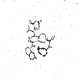 CN[C@@H](C)C(=O)N[C@H](C(=O)N1CCN(C(=O)N(C)c2ccccc2)C[C@H]1C(=O)N[C@@H]1CCCc2ccccc21)C(C)C